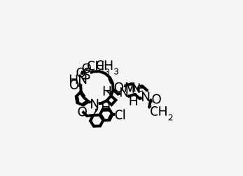 C=CC(=O)N1CCN2CCN(C[C@]3(OC)C=CC[C@H](C)[C@@H](C)S(=O)(=O)NC(=O)c4ccc5c(c4)N(C[C@@H]4CC[C@H]43)C[C@@]3(CCCc4cc(Cl)ccc43)CO5)C[C@H]2C1